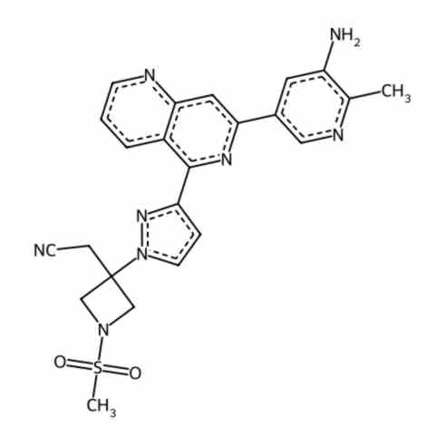 Cc1ncc(-c2cc3ncccc3c(-c3ccn(C4(CC#N)CN(S(C)(=O)=O)C4)n3)n2)cc1N